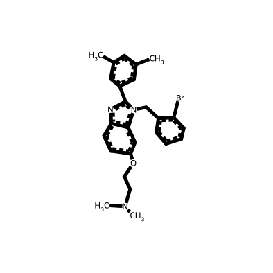 Cc1cc(C)cc(-c2nc3ccc(OCCN(C)C)cc3n2Cc2ccccc2Br)c1